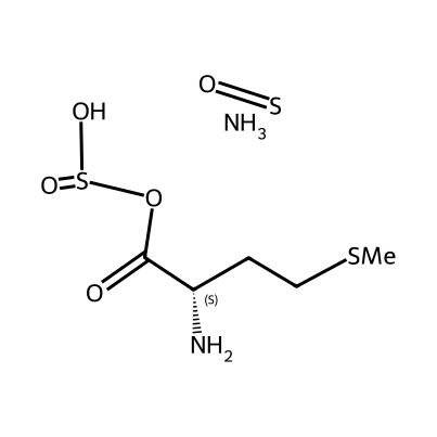 CSCC[C@H](N)C(=O)OS(=O)O.N.O=S